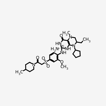 CCC1CN(C)C2=C(N[C@@](N)(Nc3ccc(S(=O)(=O)CC(=O)N4CCC(C)CC4)cc3OC)NC2=O)N1C1CCCC1